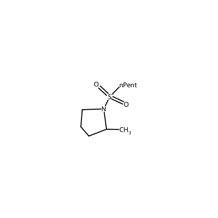 CCCCCS(=O)(=O)N1CCCC1C